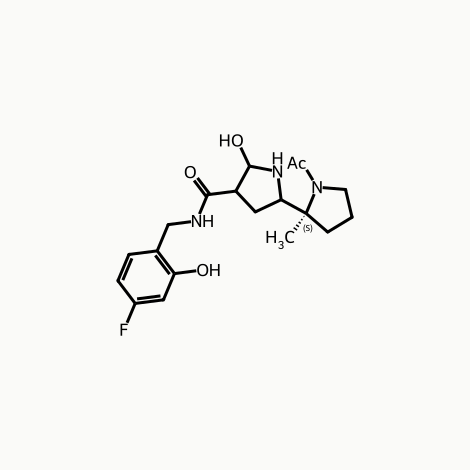 CC(=O)N1CCC[C@@]1(C)C1CC(C(=O)NCc2ccc(F)cc2O)C(O)N1